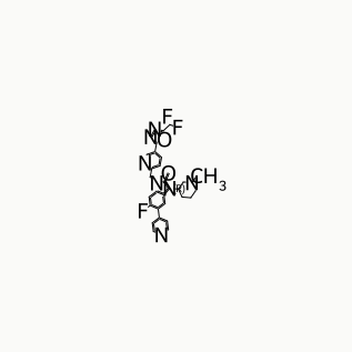 CN1CCC[C@@H](n2c(=O)n(Cc3ccc(-c4nnc(C(F)F)o4)cn3)c3cc(F)c(-c4ccncc4)cc32)C1